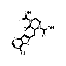 O=C(O)N1CCN(C(=O)O)C(Cc2cc3nccc(Cl)c3s2)C1=O